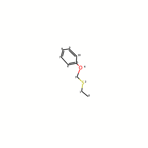 CCSCOc1ccccc1